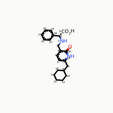 O=C(O)[C@@H](NCc1ccc(CC2CCCCC2)[nH]c1=O)c1ccccc1